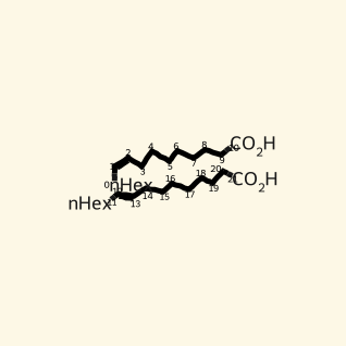 CCCCCC/C=C\CCCCCCCC(=O)O.CCCCCCC=CCCCCCCCC(=O)O